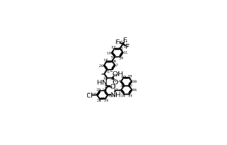 O=C(NC(Cc1ccc(-c2ccc(C(F)(F)F)cc2)cc1)C(=O)O)c1cc(Cl)ccc1NCc1cccc2ccccc12